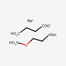 CCCCCCCCCCCCOS(=O)(=O)O.O=C([O-])CCC(=O)O.[Na+]